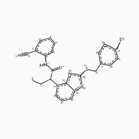 CCC(C(=O)Nc1ccccc1C#N)n1cccc2nc(SCc3ccc(F)cc3)nc1-2